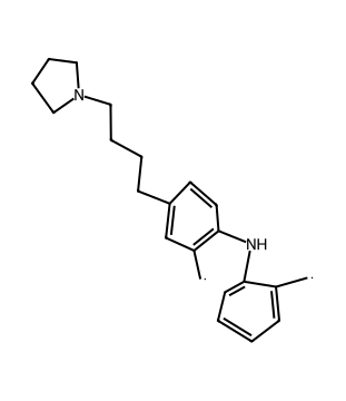 [CH2]c1ccccc1Nc1ccc(CCCCN2CCCC2)cc1[CH2]